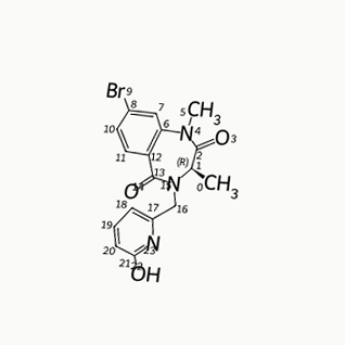 C[C@@H]1C(=O)N(C)c2cc(Br)ccc2C(=O)N1Cc1cccc(O)n1